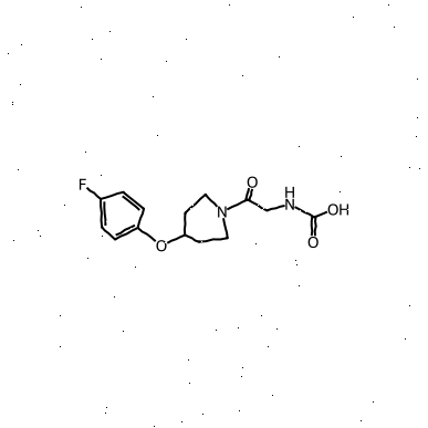 O=C(O)NCC(=O)N1CCC(Oc2ccc(F)cc2)CC1